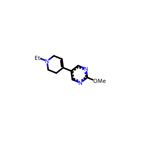 CCN1CC=C(c2cnc(OC)nc2)CC1